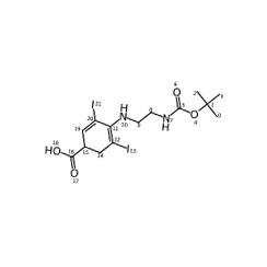 CC(C)(C)OC(=O)NCCNC1=C(I)CC(C(=O)O)C=C1I